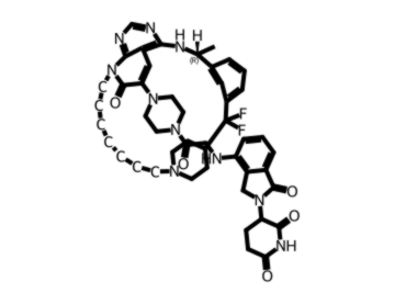 C[C@H]1Nc2ncnc3c2cc(N2CCN(C(=O)CNc4cccc5c4CN(C4CCC(=O)NC4=O)C5=O)CC2)c(=O)n3CCCCCCCN2CCC(CC2)C(F)(F)c2cccc1c2